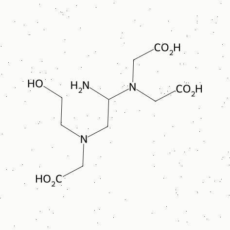 NC(CN(CCO)CC(=O)O)N(CC(=O)O)CC(=O)O